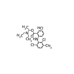 CCN(CC)C(C)OC(=O)c1ccccc1Nc1c(Cl)ccc(C)c1Cl.Cl